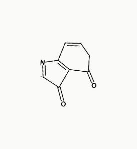 O=C1[C]=NC2=C1C(=O)CC=C2